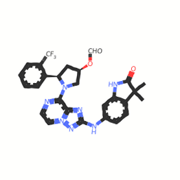 CC1(C)C(=O)Nc2cc(Nc3nc4c(N5C[C@H](OC=O)C[C@@H]5c5ccccc5C(F)(F)F)nccn4n3)ccc21